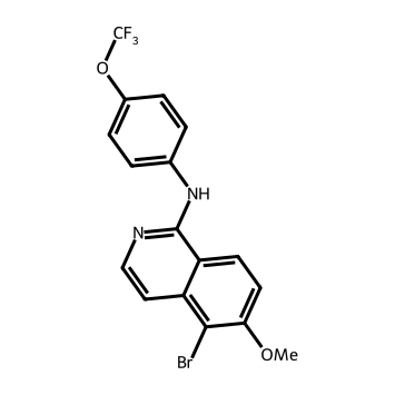 COc1ccc2c(Nc3ccc(OC(F)(F)F)cc3)nccc2c1Br